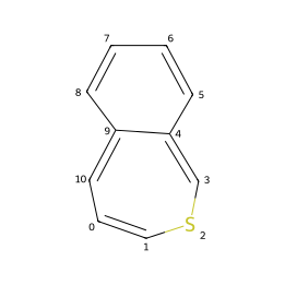 C1=CSC=c2ccccc2=C1